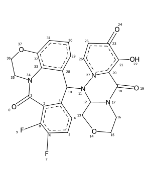 O=C1c2c(ccc(F)c2F)C(N2C3COCCN3C(=O)c3c(O)c(=O)ccn32)c2cccc3c2N1CCO3